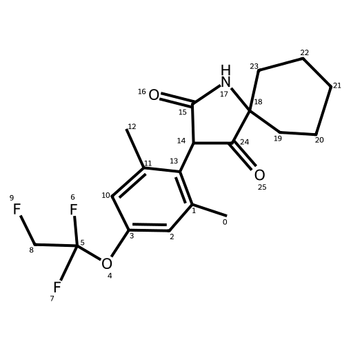 Cc1cc(OC(F)(F)CF)cc(C)c1C1C(=O)NC2(CCCCC2)C1=O